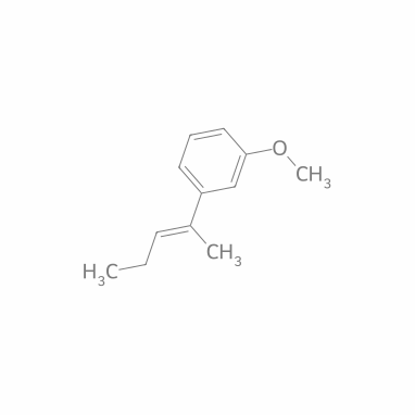 CC/C=C(\C)c1cccc(OC)c1